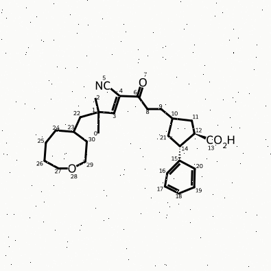 CC(C)(/C=C(\C#N)C(=O)CCC1C[C@@H](C(=O)O)[C@H](c2ccccc2)C1)CC1CCCCOCC1